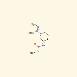 C/N=C(\SC)N1CCC[C@@H](NC(=O)OC(C)(C)C)C1